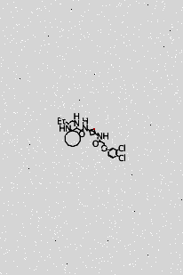 CCC1CNC(C(=O)NC23CC(NC(=O)COc4ccc(Cl)c(Cl)c4)(C2)C3)C2(CCCCCCCCC2)N1